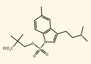 CCOC(=O)C(C)(C)COS(=O)(=O)n1cc(CCN(C)C)c2cc(C)ccc21